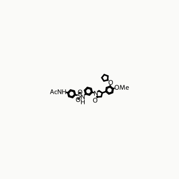 COc1ccc(C2CC(=O)N(c3cccc(NS(=O)(=O)c4ccc(NC(C)=O)cc4)c3)C2)cc1OC1CCCC1